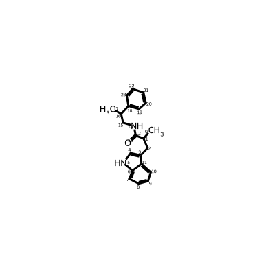 CC(Cc1c[nH]c2ccccc12)C(=O)NCC(C)c1ccccc1